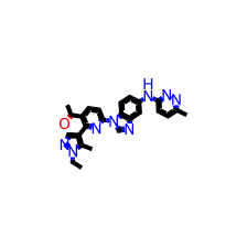 CCn1ncc(-c2nc(-n3cnc4cc(Nc5ccc(C)nn5)ccc43)ccc2C(C)=O)c1C